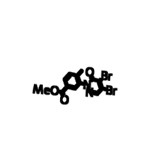 COC(=O)c1ccc(C)c(-n2ncc(Br)c(Br)c2=O)c1